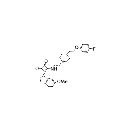 COc1ccc2c(c1)N(c1c(NCCN3CCC(CCOc4ccc(F)cc4)CC3)c(=O)c1=O)CC2